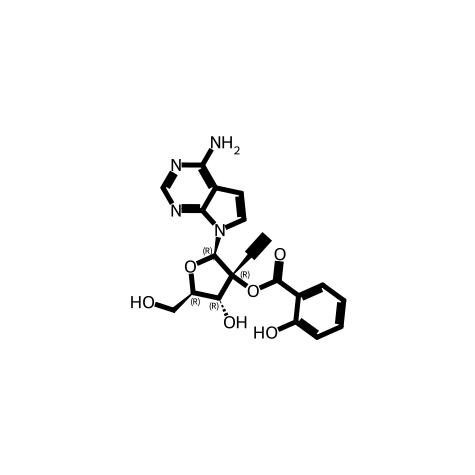 C#C[C@@]1(OC(=O)c2ccccc2O)[C@H](O)[C@@H](CO)O[C@H]1n1ccc2c(N)ncnc21